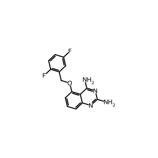 Nc1nc(N)c2c(OCc3cc(F)ccc3F)cccc2n1